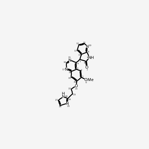 COc1cc2c(C3C(=O)Nc4ncccc43)ncnc2cc1OCCc1ncc[nH]1